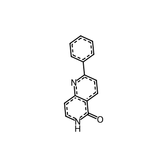 O=c1[nH]ccc2nc(-c3ccccc3)ccc12